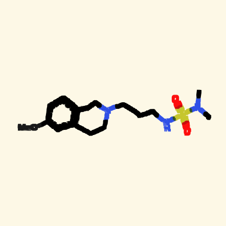 COc1ccc2c(c1)CCN(CCCNS(=O)(=O)N(C)C)C2